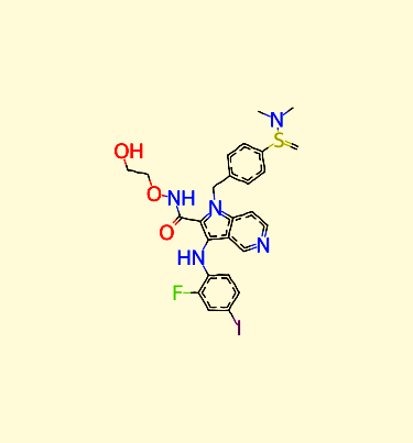 C=S(c1ccc(Cn2c(C(=O)NOCCO)c(Nc3ccc(I)cc3F)c3cnccc32)cc1)N(C)C